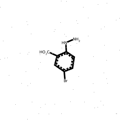 NNc1ccc(Br)cc1C(=O)O